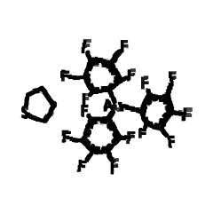 C1CCSC1.Fc1c(F)c(F)[c]([Au]([c]2c(F)c(F)c(F)c(F)c2F)[c]2c(F)c(F)c(F)c(F)c2F)c(F)c1F